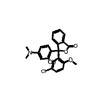 COc1ccc(Cl)cc1C1(c2ccc(N(C)C)cc2O)OC(=O)c2ccccc21